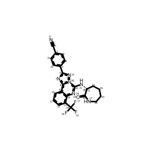 N#Cc1ccc(-c2nc3c4cccc(C(F)(F)F)c4nc(N[C@@H]4CCCCNC4=O)n3n2)cc1